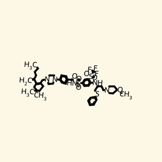 C=C(CCCC)C1=C(CN2CCN(c3ccc(C(=O)NS(=O)(=O)c4ccc(NC(CCN5CCC(OC)CC5)CSc5ccccc5)c(S(=O)(=O)C(F)(F)F)c4)cc3)CC2)CCC(C)(C)C1